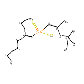 CCCCC(CC)CP(=S)(S)CC(C)CC(C)(C)C